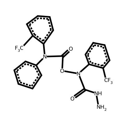 NNC(=O)N(OC(=O)N(c1ccccc1)c1ccccc1C(F)(F)F)c1ccccc1C(F)(F)F